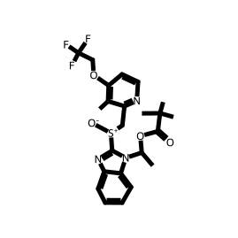 Cc1c(OCC(F)(F)F)ccnc1C[S+]([O-])c1nc2ccccc2n1C(C)OC(=O)C(C)(C)C